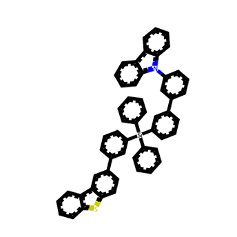 c1ccc([Si](c2ccccc2)(c2cccc(-c3cccc(-n4c5ccccc5c5ccccc54)c3)c2)c2cccc(-c3ccc4sc5ccccc5c4c3)c2)cc1